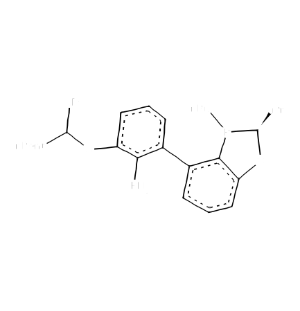 CCCCCC(Oc1cccc(-c2cccc3c2P(CCCC)[C@@H](C(C)C)O3)c1P)C(C)C